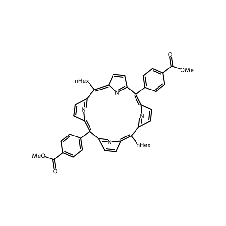 CCCCCCC1=C2C=CC(=N2)C(c2ccc(C(=O)OC)cc2)=C2C=CC(=N2)C(CCCCCC)=C2C=CC(=N2)C(c2ccc(C(=O)OC)cc2)=C2C=CC1=N2